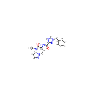 CN1C(=O)[C@@H](NC(=O)c2ncn(Cc3ccccc3)n2)CCN2N=CCC21